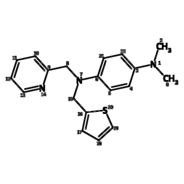 CN(C)c1ccc(N(Cc2ccccn2)Cc2cccs2)cc1